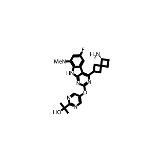 CNc1cc(F)cc2c1[nH]c1nc(Oc3cnc(C(C)(C)O)nc3)nc(C3CC4(CC[C@H]4N)C3)c12